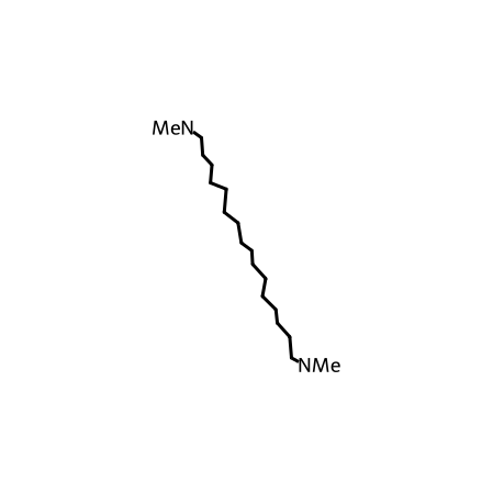 CNCCCCCCCCCCCCCCCCNC